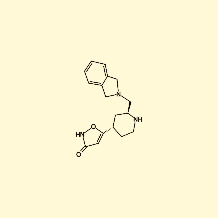 O=c1cc([C@H]2CCN[C@H](CN3Cc4ccccc4C3)C2)o[nH]1